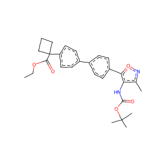 CCOC(=O)C1(c2ccc(-c3ccc(-c4onc(C)c4NC(=O)OC(C)(C)C)cc3)cc2)CCC1